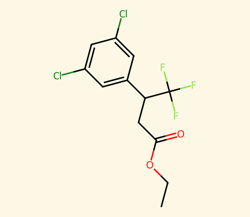 CCOC(=O)CC(c1cc(Cl)cc(Cl)c1)C(F)(F)F